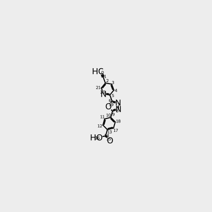 C#Cc1ccc(-c2nnc(-c3ccc(C(=O)O)cc3)o2)nc1